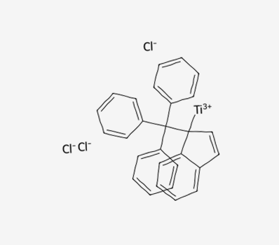 [Cl-].[Cl-].[Cl-].[Ti+3][C]1(C(c2ccccc2)(c2ccccc2)c2ccccc2)C=Cc2ccccc21